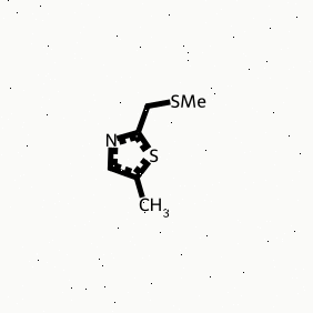 CSCc1ncc(C)s1